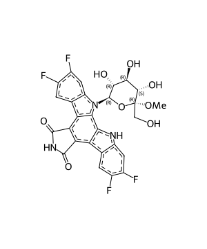 CO[C@]1(CO)O[C@@H](n2c3cc(F)c(F)cc3c3c4c(c5c6cc(F)c(F)cc6[nH]c5c32)C(=O)NC4=O)[C@H](O)[C@@H](O)[C@@H]1O